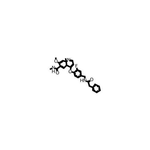 CNC(=O)C1=CC2C(Oc3ccc(CNC(=O)Cc4ccccc4)cc3F)=CC=NC2(C)C=C1OC